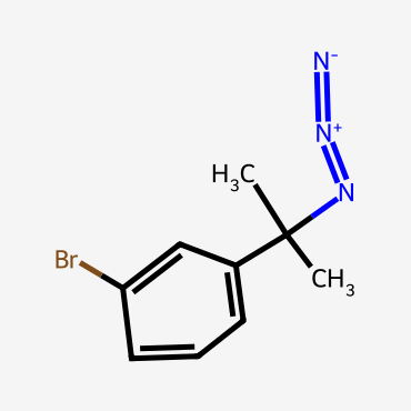 CC(C)(N=[N+]=[N-])c1cccc(Br)c1